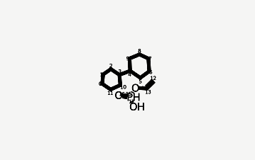 C1CCC(C2CCCCC2)CC1.C=CO[PH](=O)O